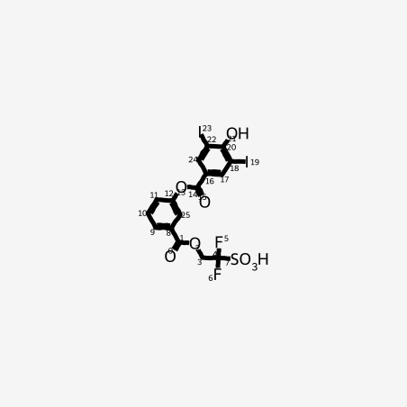 O=C(OCC(F)(F)S(=O)(=O)O)c1cccc(OC(=O)c2cc(I)c(O)c(I)c2)c1